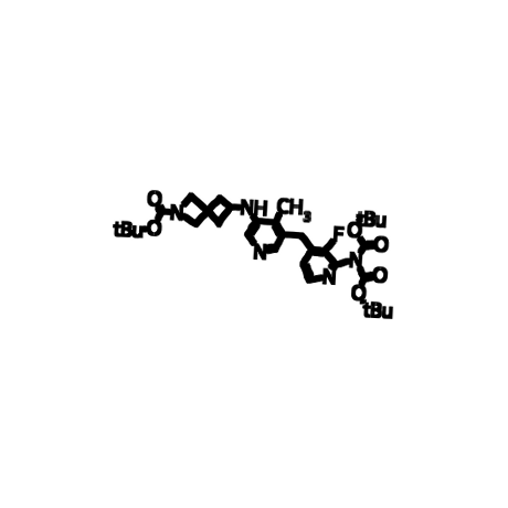 Cc1c(Cc2ccnc(N(C(=O)OC(C)(C)C)C(=O)OC(C)(C)C)c2F)cncc1NC1CC2(C1)CN(C(=O)OC(C)(C)C)C2